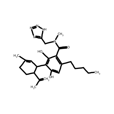 C=C(C)C1CCC(C)=CC1c1c(O)cc(CCCCC)c(C(=O)N(C)Cc2nnn[nH]2)c1O